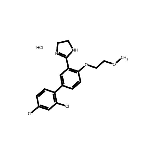 COCCOc1ccc(-c2ccc(Cl)cc2Cl)cc1C1=NCCN1.Cl